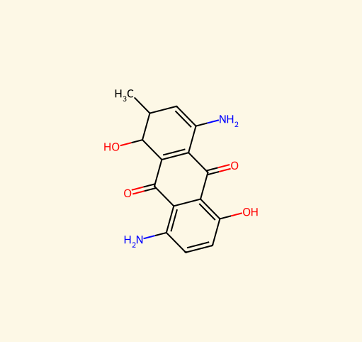 CC1C=C(N)C2=C(C(=O)c3c(N)ccc(O)c3C2=O)C1O